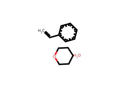 C1CCOCC1.C=Cc1ccccc1.O